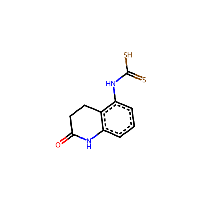 O=C1CCc2c(cccc2NC(=S)S)N1